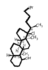 CC(C)CCC[C@@H](C)[C@@]1(Cl)CC[C@H]2[C@@H]3CC[C@H]4CCCC(O)[C@]4(C)[C@H]3CC[C@@]21C